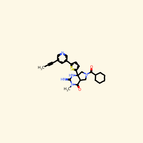 CC#Cc1cncc(-c2ccc(C34CN(C(=O)C5CCCCC5)CC3C(=O)N(C)C(=N)N4)s2)c1